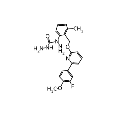 COc1ccc(-c2cccc(OCc3c(C)cccc3N(N)C(=O)NN)n2)cc1F